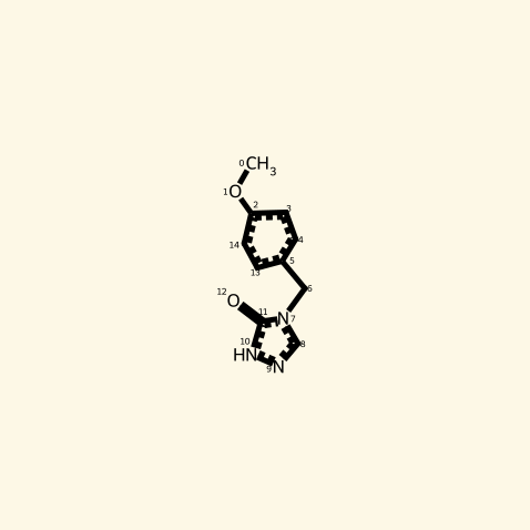 COc1ccc(Cn2cn[nH]c2=O)cc1